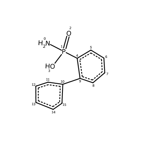 NP(=O)(O)c1ccccc1-c1ccccc1